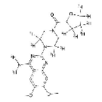 [2H]N([2H])c1nc(N2C([2H])([2H])CN(C(=O)C3OC([2H])([2H])C([2H])([2H])C3([2H])[2H])CC2([2H])[2H])nc2cc(OC)c(OC)cc12